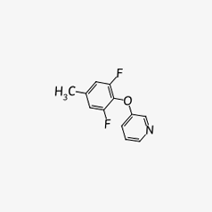 Cc1cc(F)c(Oc2cccnc2)c(F)c1